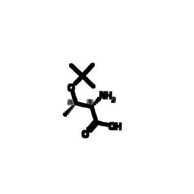 C[C@H](OC(C)(C)C)[C@H](N)C(=O)O